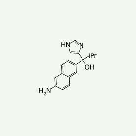 CC(C)C(O)(c1ccc2cc(N)ccc2c1)c1c[nH]cn1